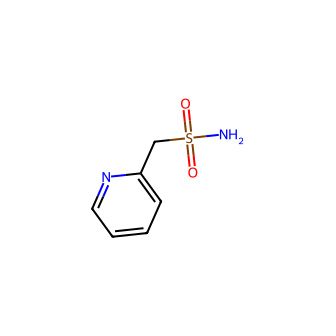 NS(=O)(=O)Cc1ccccn1